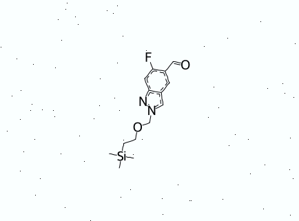 C[Si](C)(C)CCOCn1cc2cc(C=O)c(F)cc2n1